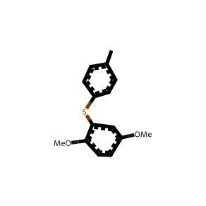 COc1ccc(OC)c(Sc2ccc(C)cc2)c1